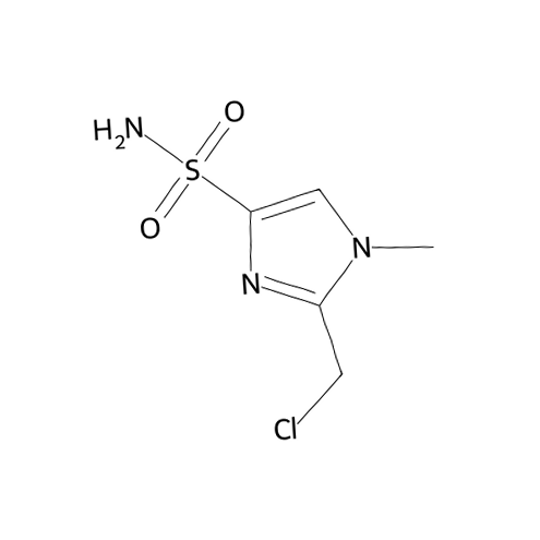 Cn1cc(S(N)(=O)=O)nc1CCl